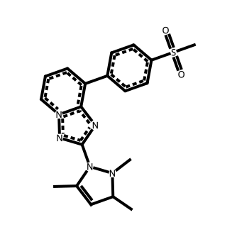 CC1=[C]C(C)N(C)N1c1nc2c(-c3ccc(S(C)(=O)=O)cc3)cccn2n1